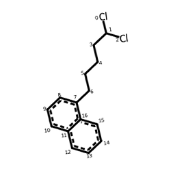 ClC(Cl)CCCCc1cccc2ccccc12